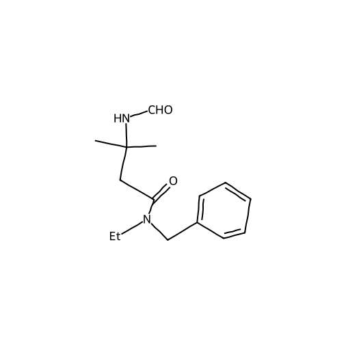 CCN(Cc1ccccc1)C(=O)CC(C)(C)NC=O